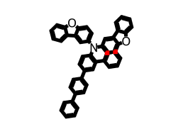 c1ccc(-c2ccc(-c3ccc(N(c4ccc5oc6ccccc6c5c4)c4ccc5oc6ccccc6c5c4)c(-c4ccccc4)c3)cc2)cc1